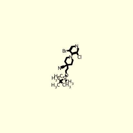 CC(C)(C)[Si](C)(C)OCCC1(C#N)CCN(c2c(Cl)cncc2Br)CC1